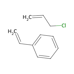 C=CCCl.C=Cc1ccccc1